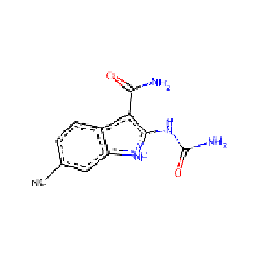 N#Cc1ccc2c(C(N)=O)c(NC(N)=O)[nH]c2c1